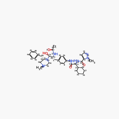 CCC(=O)N[C@H](Cc1ccc(NC(=O)[C@@H](NC(=O)c2ccnn2C)C2CCCCC2)cc1)C(O)N1CCN(C)C[C@@H]1Cc1ccccc1